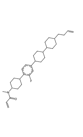 C=CCCC1CCC(C2CCC(c3ccc(C4CCC(N(C)C(=O)C=C)CC4)c(F)c3)CC2)CC1